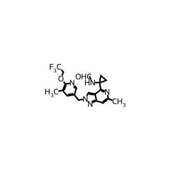 Cc1cc2nn(Cc3cnc(OCC(F)(F)F)c(C)c3)cc2c(C2(NC=O)CC2)n1